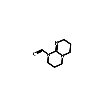 O=CN1CCCN2CCCN=C12